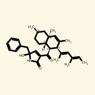 C/C=C(C)/C=C(\C)[C@@H]1C(C)=C[C@]2(C)C[C@H](C)CC[C@H]2[C@@H]1C(=O)C1=CC(O)(Cc2ccccc2)NC1=O